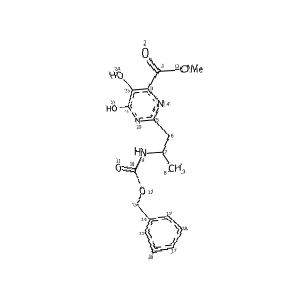 COC(=O)c1nc(CC(C)NC(=O)OCc2ccccc2)nc(O)c1O